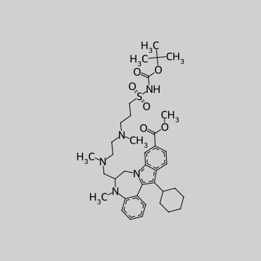 COC(=O)c1ccc2c(C3CCCCC3)c3n(c2c1)CC(CN(C)CCN(C)CCCS(=O)(=O)NC(=O)OC(C)(C)C)N(C)c1ccccc1-3